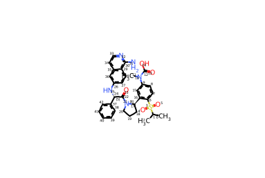 CC(C)S(=O)(=O)c1ccc(N(C)C(=O)O)cc1[C@H]1CCCN1C(=O)[C@@H](Nc1ccc2c(N)nccc2c1)c1ccccc1